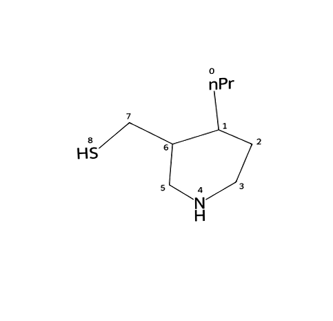 [CH]CCC1CCNCC1CS